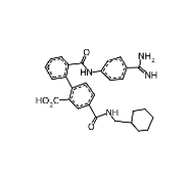 N=C(N)c1ccc(NC(=O)c2ccccc2-c2ccc(C(=O)NCC3CCCCC3)cc2C(=O)O)cc1